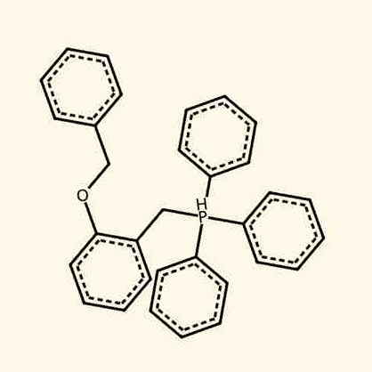 c1ccc(COc2ccccc2C[PH](c2ccccc2)(c2ccccc2)c2ccccc2)cc1